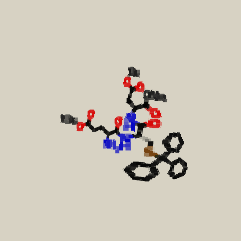 COC(=O)[C@H](CC(=O)OC(C)(C)C)NC(=O)[C@H](CSC(c1ccccc1)(c1ccccc1)c1ccccc1)NC(=O)[C@@H](N)CCC(=O)OC(C)(C)C